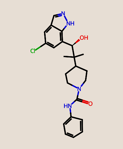 CC(C)(C1CCN(C(=O)Nc2ccccc2)CC1)[C@H](O)c1cc(Cl)cc2cn[nH]c12